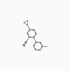 Cc1cccc(-c2ccc(C3CC3)cc2C#N)c1